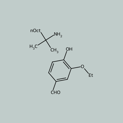 CCCCCCCCC(C)(C)N.CCOc1cc(C=O)ccc1O